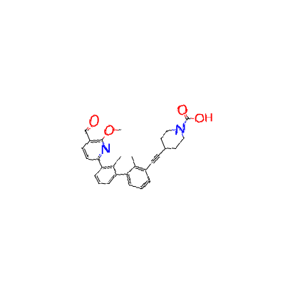 COc1nc(-c2cccc(-c3cccc(C#CC4CCN(C(=O)O)CC4)c3C)c2C)ccc1C=O